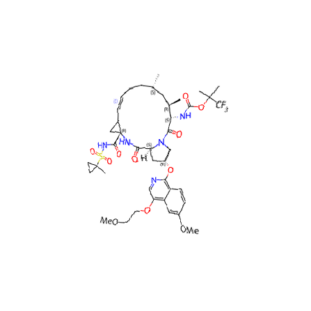 COCCOc1cnc(O[C@@H]2C[C@H]3C(=O)N[C@]4(C(=O)NS(=O)(=O)C5(C)CC5)CC4/C=C\CC[C@H](C)C[C@@H](C)[C@H](NC(=O)OC(C)(C)C(F)(F)F)C(=O)N3C2)c2ccc(OC)cc12